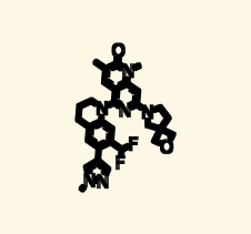 Cc1cc2c(N3CCCc4cc(-c5cnn(C)c5)c(C(F)F)cc43)nc(N3CCC4(COC4)C3)cc2n(C)c1=O